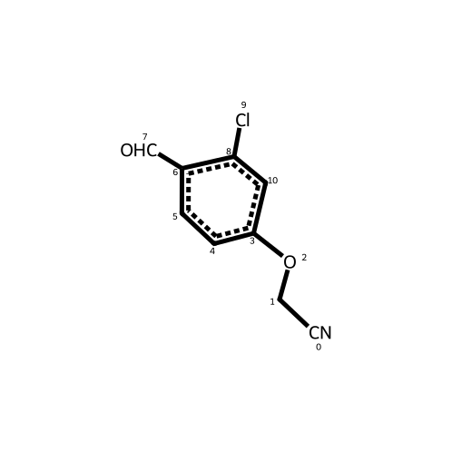 N#CCOc1ccc(C=O)c(Cl)c1